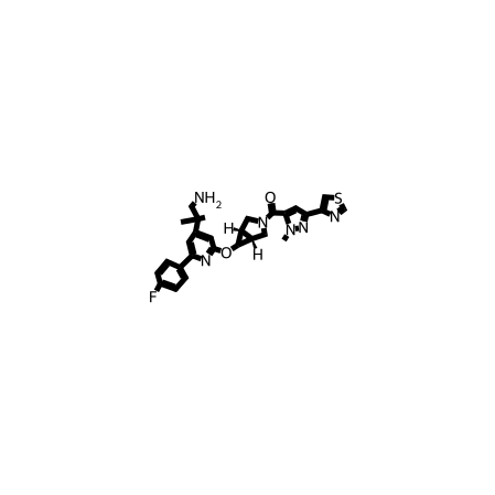 Cn1nc(-c2cscn2)cc1C(=O)N1C[C@@H]2C(Oc3cc(C(C)(C)CN)cc(-c4ccc(F)cc4)n3)[C@@H]2C1